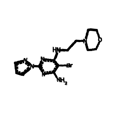 Nc1nc(-n2cccn2)nc(NCCN2CCOCC2)c1Br